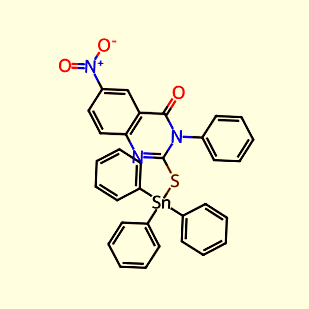 O=c1c2cc([N+](=O)[O-])ccc2nc([S][Sn]([c]2ccccc2)([c]2ccccc2)[c]2ccccc2)n1-c1ccccc1